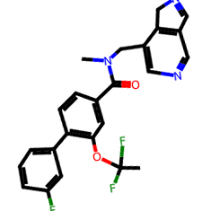 CN(Cc1cncc2c1CN=C2)C(=O)c1ccc(-c2cccc(F)c2)c(OC(C)(F)F)c1